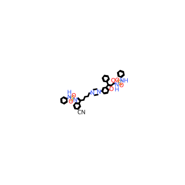 N#Cc1ccc2c(c1)c(CCCCN1CCN(c3ccc4oc(C(=O)NS(=O)(=O)Nc5ccccc5)c(-c5ccccc5)c4c3)CC1)cn2S(=O)(=O)Nc1ccccc1